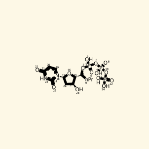 CCCC(OP(=O)(O)OP(=O)(O)OP(=O)(O)O)[C@H]1O[C@@H](n2ccc(=O)[nH]c2=O)C[C@@H]1O